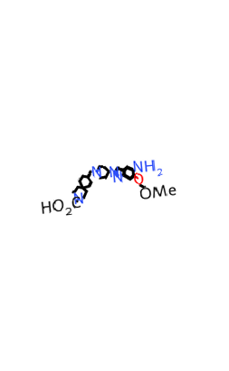 COCCOc1cc2nn(C3CCN(CC4CCC5(CC4)CCN(C(=O)O)CC5)CC3)cc2cc1N